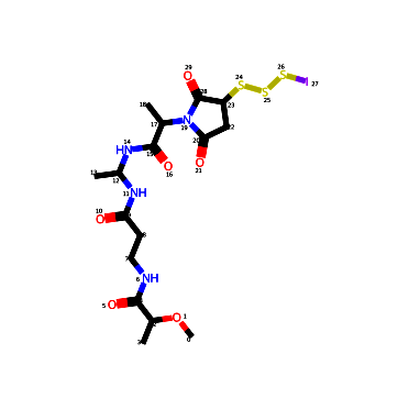 COC(C)C(=O)NCCC(=O)NC(C)NC(=O)C(C)N1C(=O)CC(SSSI)C1=O